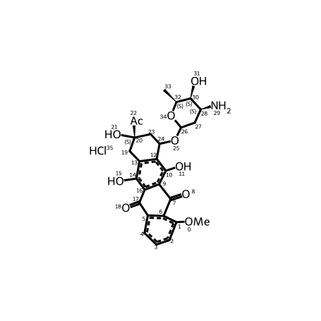 COc1cccc2c1C(=O)c1c(O)c3c(c(O)c1C2=O)C[C@@](O)(C(C)=O)CC3OC1C[C@H](N)[C@H](O)[C@H](C)O1.Cl